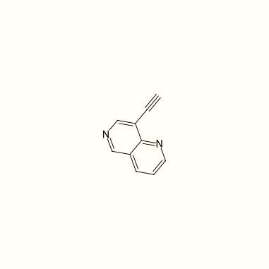 C#Cc1cncc2cccnc12